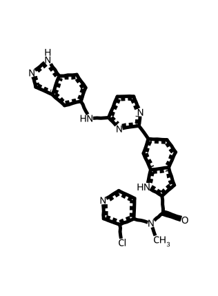 CN(C(=O)c1cc2ccc(-c3nccc(Nc4ccc5[nH]ncc5c4)n3)cc2[nH]1)c1ccncc1Cl